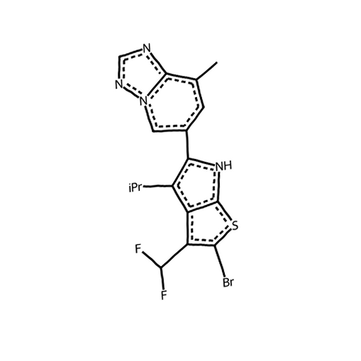 Cc1cc(-c2[nH]c3sc(Br)c(C(F)F)c3c2C(C)C)cn2ncnc12